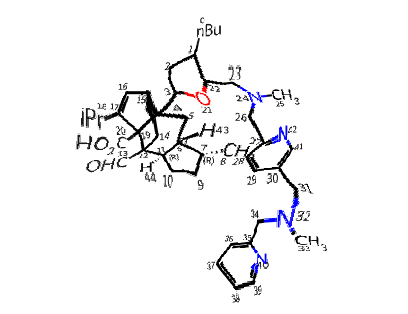 CCCCC1CC(C23C[C@@H]4[C@H](C)CC[C@H]4C4(C=O)CC2C=C(C(C)C)C34C(=O)O)OC1CN(C)Cc1ccc(CN(C)Cc2ccccn2)cn1